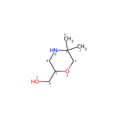 CC1(C)COC(CO)CN1